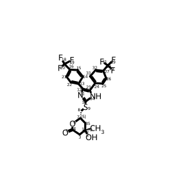 C[C@@]1(O)CC(=O)O[C@H](CSc2nc(-c3ccc(C(F)(F)F)cc3)c(-c3ccc(C(F)(F)F)cc3)[nH]2)C1